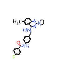 Cc1ccc2nc(N3CCCC3)nc(NCc3ccc(NC(=O)c4ccc(F)cc4)cc3)c2c1